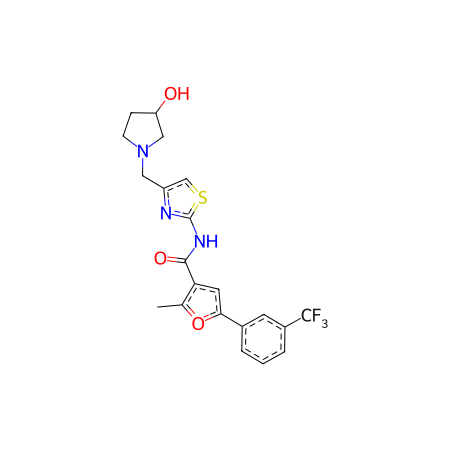 Cc1oc(-c2cccc(C(F)(F)F)c2)cc1C(=O)Nc1nc(CN2CCC(O)C2)cs1